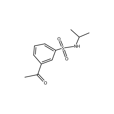 CC(=O)c1cccc(S(=O)(=O)NC(C)C)c1